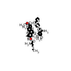 CC(=O)O[C@]1(C(C)=O)CC[C@H]2[C@@H]3C=C(Cl)C4=CC(=O)[C@@H]5C[C@@H]5[C@]4(C)[C@H]3CC[C@@]21C.CCSCC[C@H](N)C(=O)O.COc1cc2nc(N3CCN(C(=O)C4CCCO4)CC3)nc(N)c2cc1OC